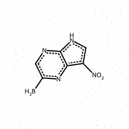 Bc1cnc2[nH]cc([N+](=O)[O-])c2n1